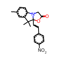 Cc1ccc2c(c1)C(C)(C)C1(/C=C/c3ccc([N+](=O)[O-])cc3)OC(=O)CN21